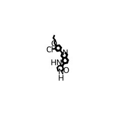 CCCOc1ccc(-c2cc3c(ccc4c5c([nH]c43)CCNC5=O)cn2)cc1Cl